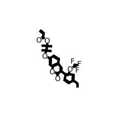 C=CC(=O)OC(C)(C)C(C)(C)Oc1ccc2cc(-c3ccc(CC)cc3OC(F)(F)F)c(=O)oc2c1